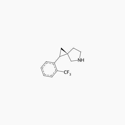 FC(F)(F)c1ccccc1C1C[C@]12CCNC2